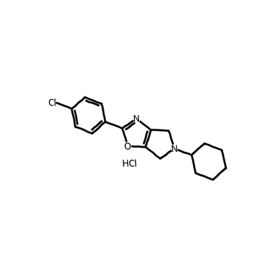 Cl.Clc1ccc(-c2nc3c(o2)CN(C2CCCCC2)C3)cc1